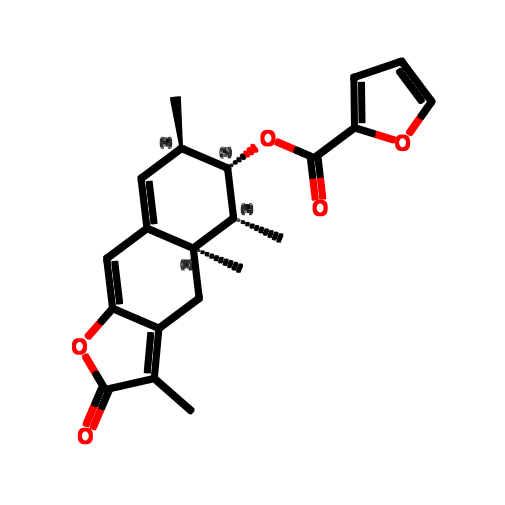 CC1=C2C[C@@]3(C)C(=C[C@@H](C)[C@H](OC(=O)c4ccco4)[C@@H]3C)C=C2OC1=O